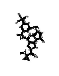 COC1(C(=O)N2Cc3c(NC(C)c4cc(N)cc(C(F)(F)F)c4)nc4ncc(C)n4c3C2)CC1